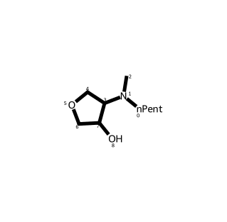 CCCCCN(C)C1COCC1O